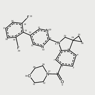 O=C(c1ccc2c(c1)N(c1ncc(-c3c(F)cccc3F)cn1)CC21CC1)N1CCOCC1